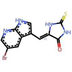 O=C1NC(=S)N/C1=C\c1c[nH]c2ncc(Br)cc12